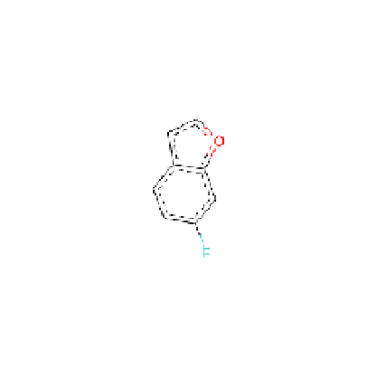 Fc1ccc2ccoc2c1